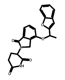 CC(Oc1cccc2c1CN(C1CCC(=O)NC1=O)C2=O)c1cc2ccccc2o1